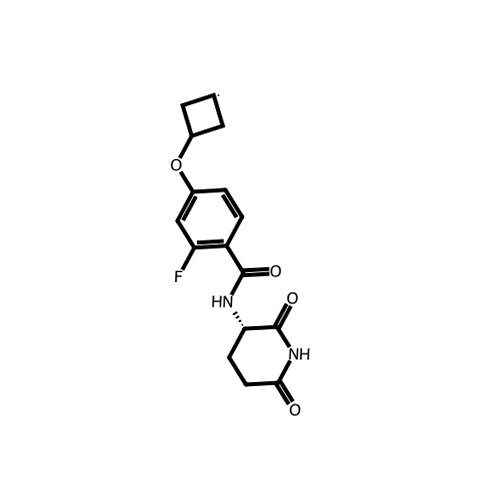 O=C1CC[C@H](NC(=O)c2ccc(OC3C[CH]C3)cc2F)C(=O)N1